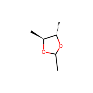 CC1O[C@@H](C)[C@H](C)O1